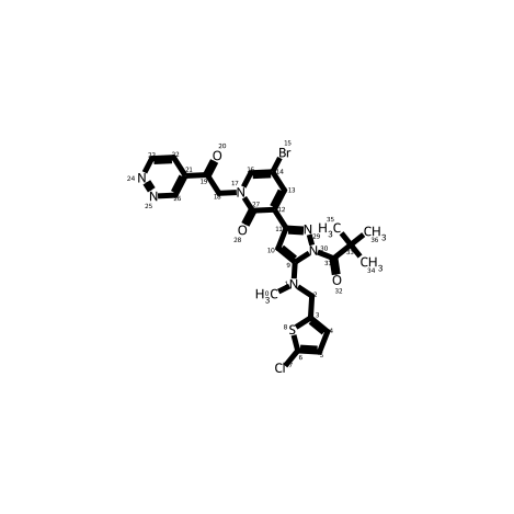 CN(Cc1ccc(Cl)s1)c1cc(-c2cc(Br)cn(CC(=O)c3ccnnc3)c2=O)nn1C(=O)C(C)(C)C